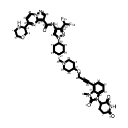 Cn1c(=O)n(C2CCC(=O)NC2=O)c2cccc(C#CCOC3CCN(C[C@H]4CC[C@H](n5cc(NC(=O)c6cnn7ccc(C8COCCN8)nc67)c(C(F)F)n5)CC4)CC3)c21